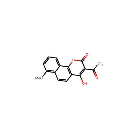 COc1cccc2c1ccc1c(O)c(C(=O)C(F)(F)F)c(=O)oc12